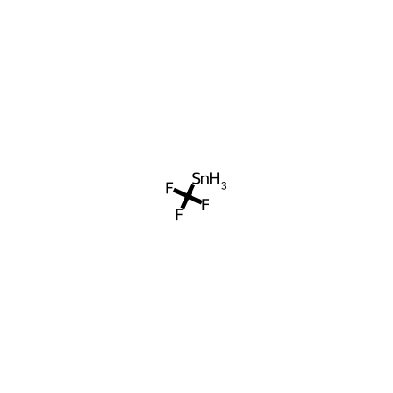 F[C](F)(F)[SnH3]